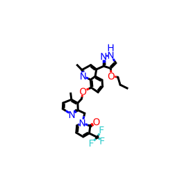 CCCOc1c[nH]nc1-c1cc(C)nc2c(OCc3c(C)ccnc3Cn3cccc(C(F)(F)F)c3=O)cccc12